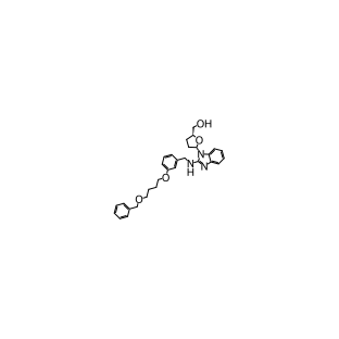 OC[C@@H]1CC[C@H](n2c(NCc3cccc(OCCCCOCc4ccccc4)c3)nc3ccccc32)O1